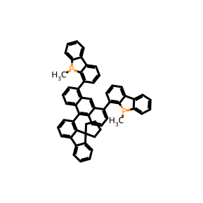 Cp1c2ccccc2c2cccc(-c3cccc4c(-c5cccc6c5C5(CCCC5)c5ccccc5-6)c5cccc(-c6cccc7c8ccccc8p(C)c67)c5cc34)c21